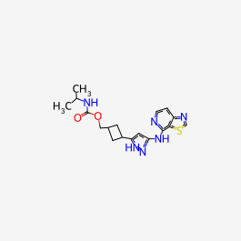 CC(C)NC(=O)OCC1CC(c2cc(Nc3nccc4ncsc34)n[nH]2)C1